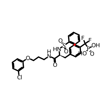 O=C(NCCCOc1cccc(Cl)c1)[C@H](Cc1ccc(C(F)(F)P(=O)(O)O)cc1)NS(=O)(=O)c1ccccc1